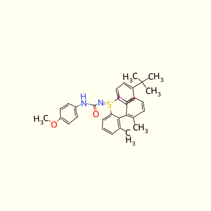 COc1ccc(NC(=O)N=S(c2ccc(C(C)(C)C)cc2)c2cccc(C)c2-c2c(C)cccc2I)cc1